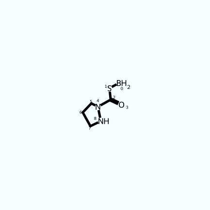 BSC(=O)N1CCCN1